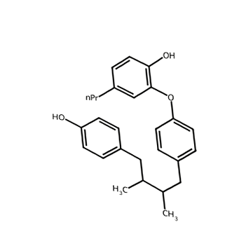 CCCc1ccc(O)c(Oc2ccc(CC(C)C(C)Cc3ccc(O)cc3)cc2)c1